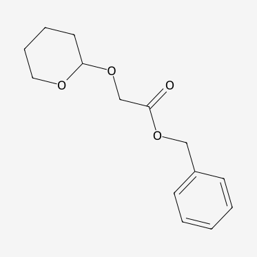 O=C(COC1CCCCO1)OCc1ccccc1